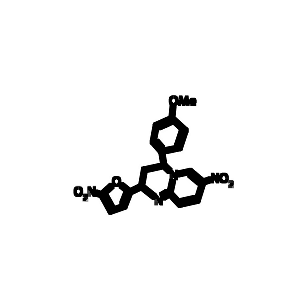 COc1ccc(C2CC(c3ccc([N+](=O)[O-])o3)N=C3C=CC([N+](=O)[O-])=CN32)cc1